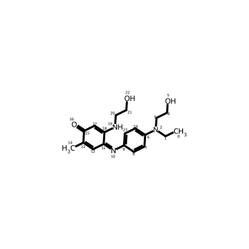 CCN(CCO)c1ccc(/N=C2/C=C(C)C(=O)C=C2NCCO)cc1